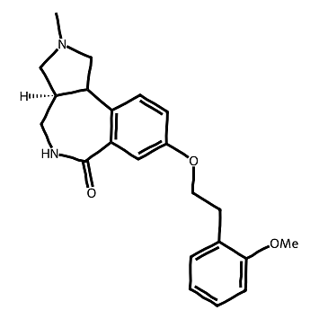 COc1ccccc1CCOc1ccc2c(c1)C(=O)NC[C@H]1CN(C)CC21